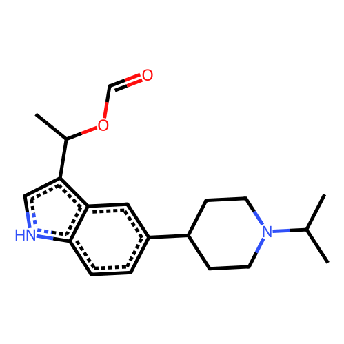 CC(OC=O)c1c[nH]c2ccc(C3CCN(C(C)C)CC3)cc12